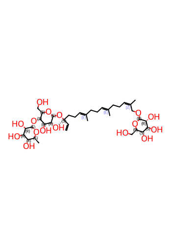 C=C[C@](C)(CC/C=C(\C)CC/C=C(\C)CC/C=C(/C)CO[C@@H]1O[C@H](CO)[C@@H](O)[C@H](O)[C@H]1O)O[C@@H]1O[C@H](CO)[C@@H](O[C@@H]2O[C@@H](C)[C@H](O)[C@@H](O)[C@H]2O)[C@H](O)[C@H]1O